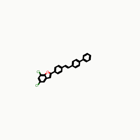 Clc1cc(Cl)c2oc(-c3ccc(/C=C/c4ccc(-c5ccccc5)cc4)cc3)cc2c1